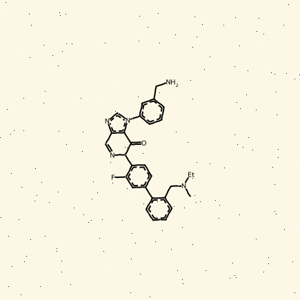 CCN(C)Cc1ccccc1-c1ccc(C2N=Cc3ncn(-c4cccc(CN)c4)c3C2=O)c(F)c1